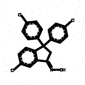 O/N=C1\CC(c2ccc(Cl)cc2)(c2ccc(Cl)cc2)c2ccc(Cl)cc21